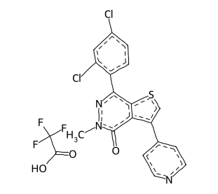 Cn1nc(-c2ccc(Cl)cc2Cl)c2scc(-c3ccncc3)c2c1=O.O=C(O)C(F)(F)F